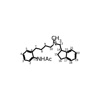 CC(=O)Nc1ccccc1CCCCN(C)CC1CCc2ccccc21